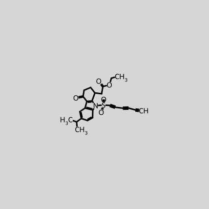 C#CC#CC#CS(=O)(=O)n1c2c(c3cc(C(C)C)ccc31)C(=O)CCC2CC(=O)OCC